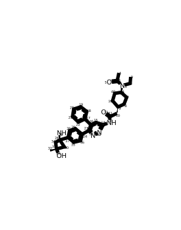 CCN(C(C)=O)[C@H]1CC[C@H](CC(=O)Nc2cc(-c3ccccc3)c(-c3ccc([C@]4(N)C[C@](C)(O)C4)cc3)nn2)CC1